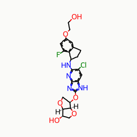 OCCOc1cc(F)c2c(c1)CCC2Nc1nc2nc(O[C@@H]3CO[C@H]4[C@@H]3OC[C@H]4O)[nH]c2cc1Cl